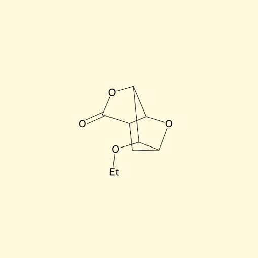 CCOC1C2CC3C(=O)OC1C3O2